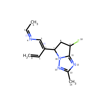 C=C/C(=C\N=C/C)C1CC(F)c2nc(C)nn21